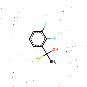 BC(O)(S)c1cccc(F)c1F